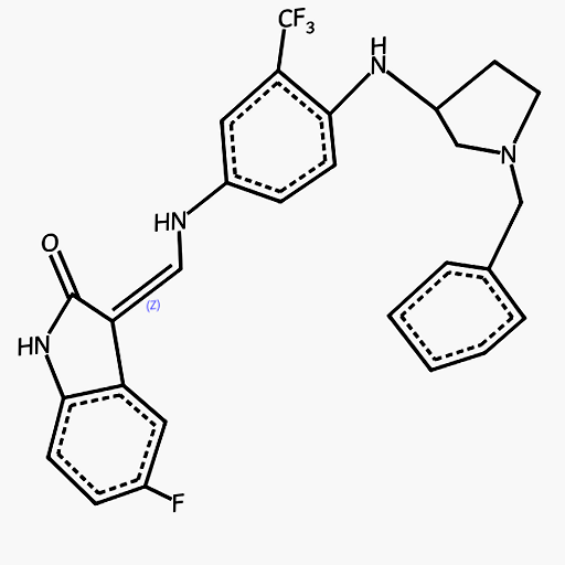 O=C1Nc2ccc(F)cc2/C1=C/Nc1ccc(NC2CCN(Cc3ccccc3)C2)c(C(F)(F)F)c1